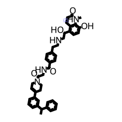 CNc1c(O)ccc(C(O)CNCCc2ccc(C(=O)NCC(=O)N3CC=C(c4cccc(C(C)c5ccccc5)c4)CC3)cc2)c1/C=C\C=O